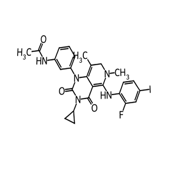 CC(=O)Nc1cccc(-n2c3c(c(=O)n(C4CC4)c2=O)=C(Nc2ccc(I)cc2F)N(C)CC=3C)c1